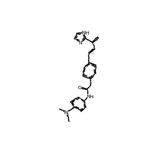 C=C(/C=C/c1ccc(CC(=O)Nc2ccc(N(C)C)cc2)cc1)c1ncc[nH]1